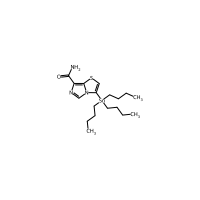 CCC[CH2][Sn]([CH2]CCC)([CH2]CCC)[c]1csc2c(C(N)=O)ncn12